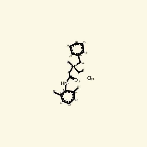 CC[N+](C)(CC(=O)Nc1c(C)cccc1C)Cc1ccccc1.[Cl-]